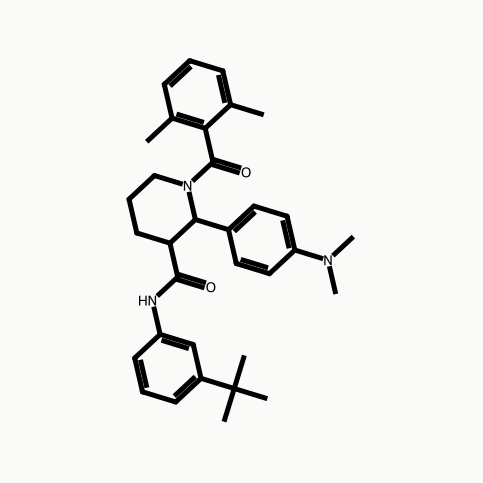 Cc1cccc(C)c1C(=O)N1CCCC(C(=O)Nc2cccc(C(C)(C)C)c2)C1c1ccc(N(C)C)cc1